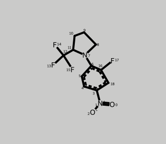 O=[N+]([O-])c1ccc(N2CCCC2C(F)(F)F)c(F)c1